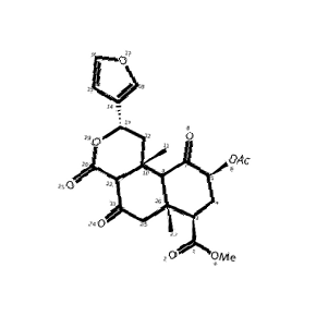 COC(=O)[C@@H]1C[C@H](OC(C)=O)C(=O)C2[C@@]3(C)C[C@@H](c4ccoc4)OC(=O)C3C(=O)C[C@]21C